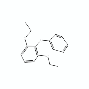 CCOc1cccc(OCC)c1Oc1ccccc1